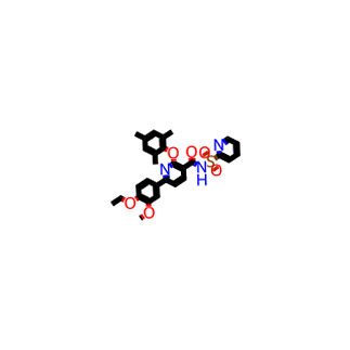 CCOc1ccc(-c2ccc(C(=O)NS(=O)(=O)c3ccccn3)c(Oc3c(C)cc(C)cc3C)n2)cc1OC